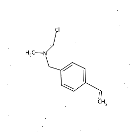 C=Cc1ccc(CN(C)CCl)cc1